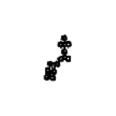 c1ccc(-c2c3ccccc3c(-c3ccc(-n4c5ccccc5c5cc(-c6ccc7c(c6)c6ccccc6n7-c6ccc7c(c6)C6(c8ccccc8-c8ccccc86)c6ccccc6-7)ccc54)cc3)c3ccccc23)cc1